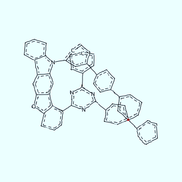 c1ccc(-c2ccc(-c3cccc(-n4c5ccccc5c5cc6oc7cccc(-c8nc(-c9ccccc9)nc(-c9ccc(-c%10ccccc%10)cc9)n8)c7c6cc54)c3)cc2)cc1